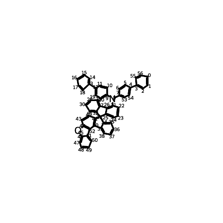 c1ccc(-c2ccc(N(c3ccc(-c4ccccc4)cc3)c3cccc4c3-c3ccccc3C43c4ccccc4-c4c3ccc3oc5ccccc5c43)cc2)cc1